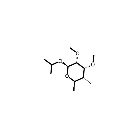 CO[C@@H]1[C@H](C)[C@@H](C)O[C@@H](OC(C)C)[C@@H]1OC